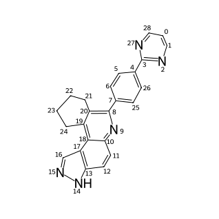 c1cnc(-c2ccc(-c3nc4ccc5[nH]ncc5c4c4c3CCCC4)cc2)nc1